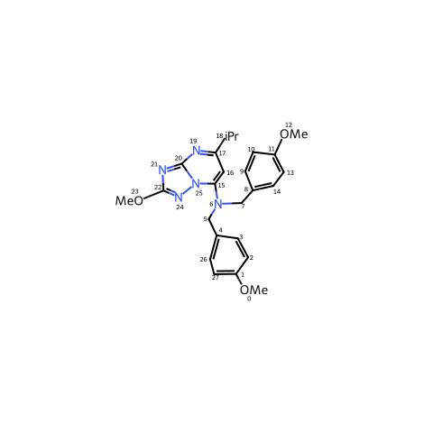 COc1ccc(CN(Cc2ccc(OC)cc2)c2cc(C(C)C)nc3nc(OC)nn23)cc1